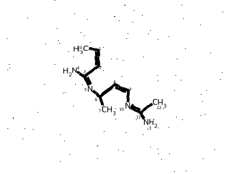 C/C=C\C(N)=N/C(C)/C=C\N=C(/C)N